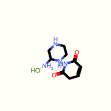 Cl.NC1CNCCN1.O=C1C=CCC(=O)N1